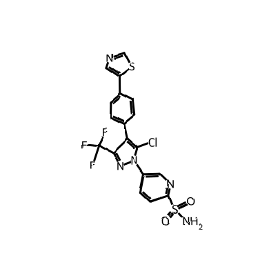 NS(=O)(=O)c1ccc(-n2nc(C(F)(F)F)c(-c3ccc(-c4cncs4)cc3)c2Cl)cn1